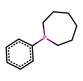 c1ccc(P2CCCCCC2)cc1